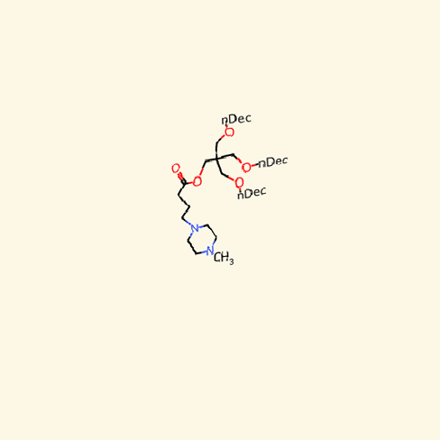 CCCCCCCCCCOCC(COCCCCCCCCCC)(COCCCCCCCCCC)COC(=O)CCCN1CCN(C)CC1